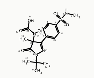 CNS(=O)(=O)c1ccc(C2=NN(C(C)(C)C)C(=O)C2(C)N(O)C(=O)O)cc1